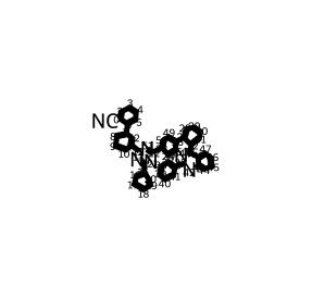 N#Cc1ccccc1-c1cccc(-c2nc(-c3ccccc3)nc(-c3ccc(-c4ccccc4-c4nc(-c5ccccc5)nc5ccccc45)cc3)n2)c1